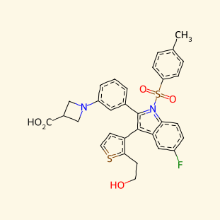 Cc1ccc(S(=O)(=O)n2c(-c3cccc(N4CC(C(=O)O)C4)c3)c(-c3ccsc3CCO)c3cc(F)ccc32)cc1